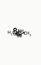 C=CCSC(=O)n1c(N)c(-c2ccccc2C)c(=O)n1C(C)C